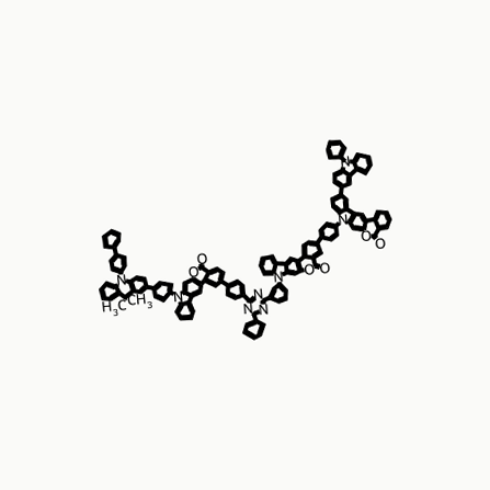 CC1(C)c2ccccc2N(c2ccc(-c3ccccc3)cc2)c2ccc(-c3ccc(-n4c5ccccc5c5cc6c(cc54)oc(=O)c4ccc(-c5ccc(-c7nc(-c8ccccc8)nc(-c8cccc(-n9c%10ccccc%10c%10cc%11c(cc%109)oc(=O)c9cc(-c%10ccc(-n%12c%13ccc(-c%14ccc%15c(c%14)c%14ccccc%14n%15-c%14ccccc%14)cc%13c%13cc%14c(cc%13%12)oc(=O)c%12ccccc%12%14)cc%10)ccc9%11)c8)n7)cc5)cc46)cc3)cc21